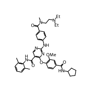 CCN(CC)CCN(C)C(=O)c1ccc(Nc2ncc(C(=O)Nc3c(C)cccc3C)c(Oc3ccc(C(=O)NC4CCCC4)cc3OC)n2)cc1